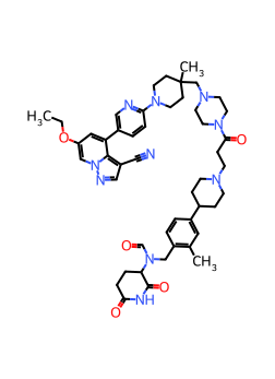 CCOc1cc(-c2ccc(N3CCC(C)(CN4CCN(C(=O)CCN5CCC(c6ccc(CN(C=O)C7CCC(=O)NC7=O)c(C)c6)CC5)CC4)CC3)nc2)c2c(C#N)cnn2c1